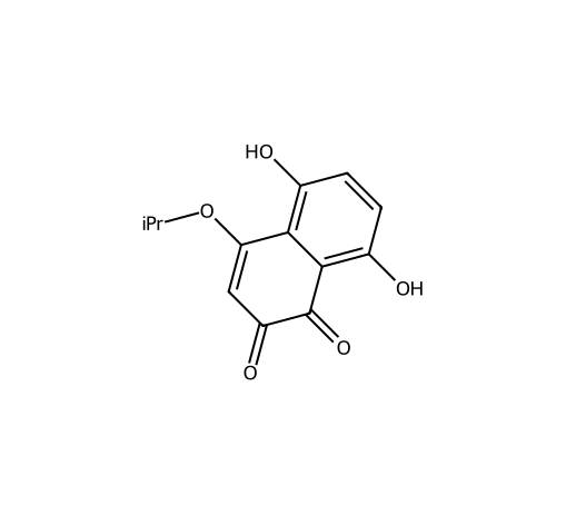 CC(C)OC1=CC(=O)C(=O)c2c(O)ccc(O)c21